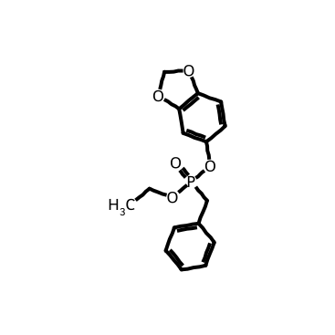 CCOP(=O)(Cc1ccccc1)Oc1ccc2c(c1)OCO2